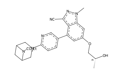 CCOC(=O)N1C2CC1CN(c1ccc(-c3cc(OC[C@@H](C)O)cc4c3c(C#N)nn4C)cn1)C2